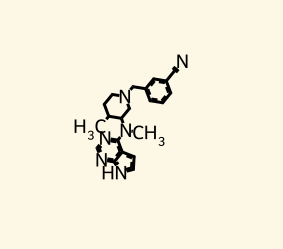 CC1CCN(Cc2cccc(C#N)c2)CC1N(C)c1ncnc2[nH]ccc12